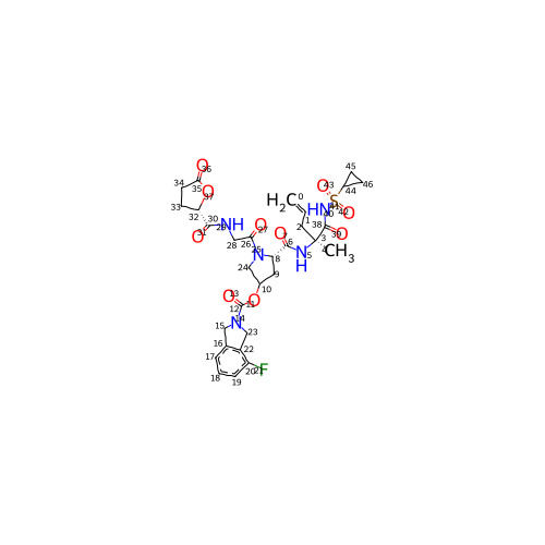 C=CC[C@](C)(NC(=O)[C@@H]1CC(OC(=O)N2Cc3cccc(F)c3C2)CN1C(=O)CNC(=O)[C@@H]1CCC(=O)O1)C(=O)NS(=O)(=O)C1CC1